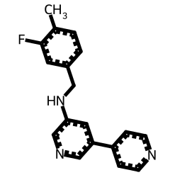 Cc1ccc(CNc2cncc(-c3ccncc3)c2)cc1F